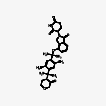 Bc1cc(C(B)(B)N2CCOCC2=O)c(B)cc1C(B)(B)Oc1cccc2c1CN(C1CCC(=O)NC1=O)C2=O